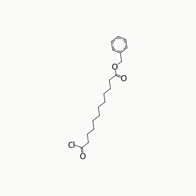 O=C(Cl)CCCCCCCCCCC(=O)OCc1ccccc1